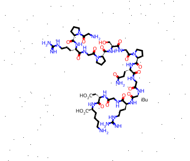 CC[C@H](C)[C@H](NC(=O)CNC(=O)[C@H](CCC(N)=O)NC(=O)[C@@H]1CCCN1C(=O)CNC(=O)[C@H](CO)NC(=O)[C@@H]1CCCN1C(=O)CNC(=O)[C@H](CCCNC(=N)N)NC(=O)[C@@H]1CCCN1C(=O)CN)C(=O)N[C@@H](CCCNC(=N)N)C(=O)NCC(=O)N[C@@H](CC(=O)O)C(=O)N[C@@H](CCCCN)C(=O)O